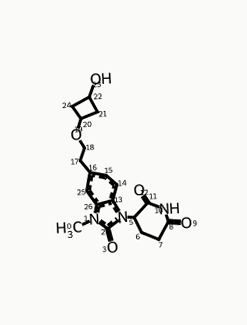 Cn1c(=O)n(C2CCC(=O)NC2=O)c2ccc(CCOC3CC(O)C3)cc21